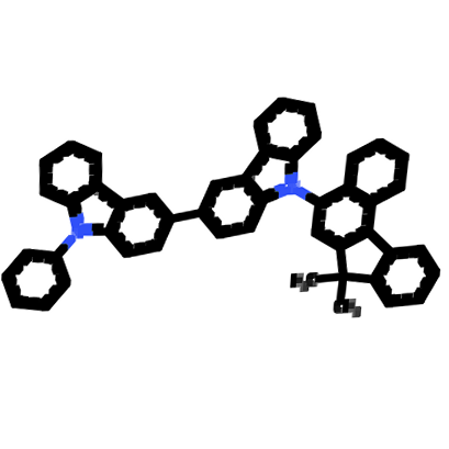 CC1(C)c2ccccc2-c2c1cc(-n1c3ccccc3c3cc(-c4ccc5c(c4)c4ccccc4n5-c4ccccc4)ccc31)c1ccccc21